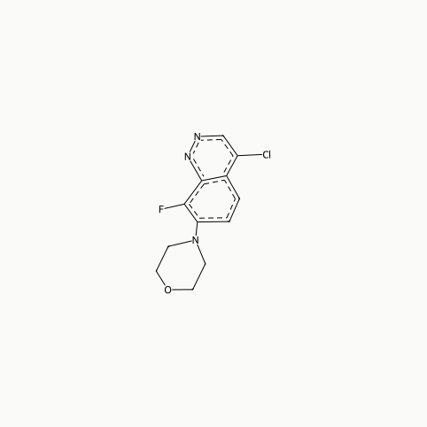 Fc1c(N2CCOCC2)ccc2c(Cl)cnnc12